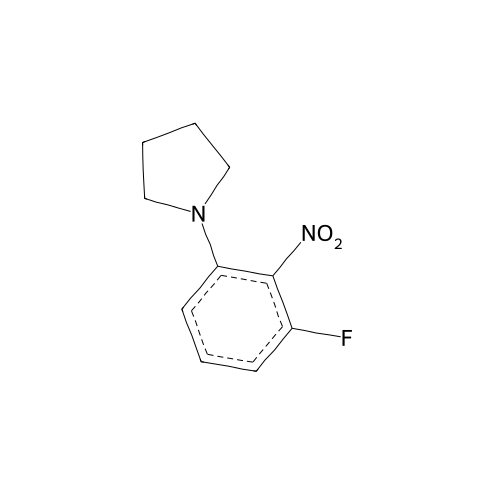 O=[N+]([O-])c1c(F)cccc1N1CCCC1